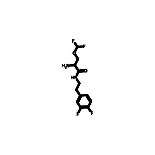 NC(COC(F)F)C(=O)NCCc1ccc(F)c(F)c1